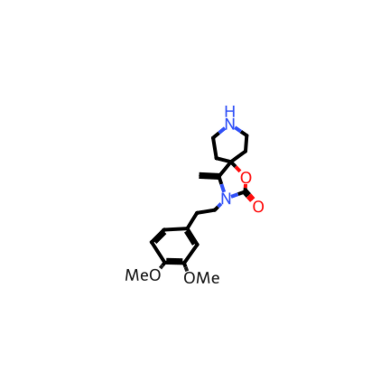 C=C1N(CCc2ccc(OC)c(OC)c2)C(=O)OC12CCNCC2